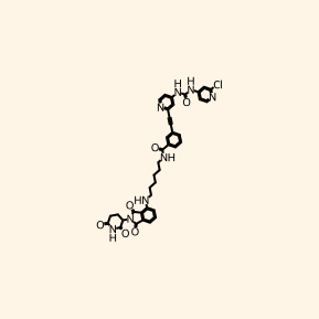 O=C1CCC(N2C(=O)c3cccc(NCCCCCCNC(=O)c4cccc(C#Cc5cc(NC(=O)Nc6ccnc(Cl)c6)ccn5)c4)c3C2=O)C(=O)N1